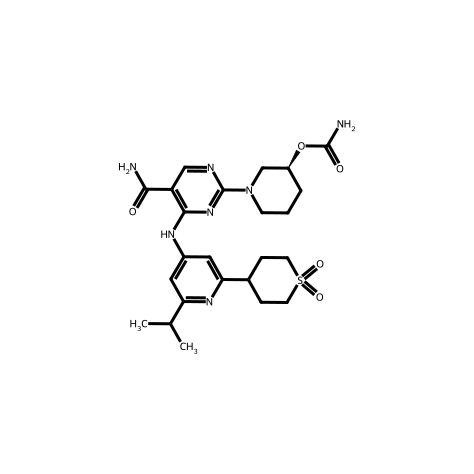 CC(C)c1cc(Nc2nc(N3CCC[C@H](OC(N)=O)C3)ncc2C(N)=O)cc(C2CCS(=O)(=O)CC2)n1